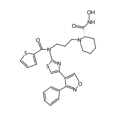 O=C(NO)[C@@H]1CCCCN1CCCN(C(=O)c1cccs1)c1nc(-c2conc2-c2ccccc2)cs1